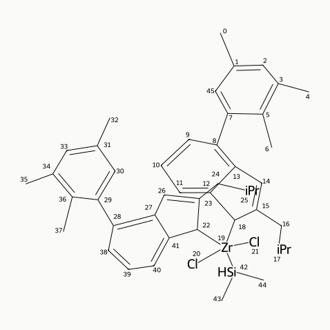 Cc1cc(C)c(C)c(-c2cccc3c2C=C(CC(C)C)[CH]3[Zr]([Cl])([Cl])([CH]2C(CC(C)C)=Cc3c(-c4cc(C)cc(C)c4C)cccc32)[SiH](C)C)c1